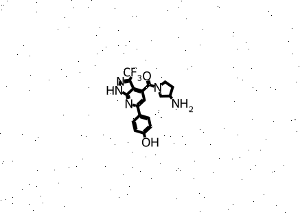 NC1CCN(C(=O)c2cc(-c3ccc(O)cc3)nc3[nH]nc(C(F)(F)F)c23)C1